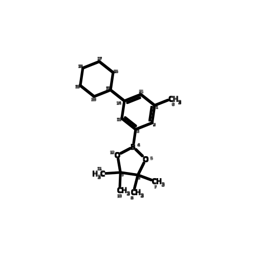 Cc1cc(B2OC(C)(C)C(C)(C)O2)cc(C2CCCCC2)c1